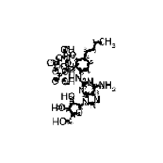 CCCCc1ccc(Nc2nc(N)c3ncn([C@@H]4O[C@H](CO)[C@@H](O)[C@@H]4O)c3n2)cc1OP(=O)(O)OP(=O)(O)OP(=O)(O)O